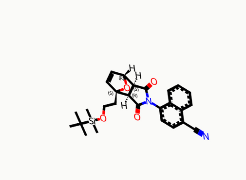 CC(C)(C)[Si](C)(C)OCC[C@@]12C=C[C@@H](O1)[C@H]1C(=O)N(c3ccc(C#N)c4ccccc34)C(=O)[C@H]12